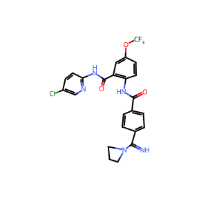 N=C(c1ccc(C(=O)Nc2ccc(OC(F)(F)F)cc2C(=O)Nc2ccc(Cl)cn2)cc1)N1CCC1